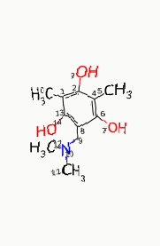 Cc1c(O)c(C)c(O)c(CN(C)C)c1O